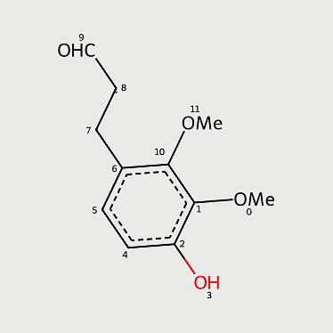 COc1c(O)ccc(C[CH]C=O)c1OC